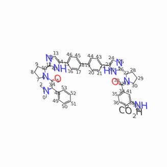 CN(C)[C@@H](C(=O)N1CCC[C@H]1c1ncc(-c2ccc(-c3ccc(-c4cnc([C@@H]5CCCN5C(=O)c5cccc(NC(=O)O)c5)[nH]4)cc3)cc2)[nH]1)c1ccccc1